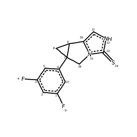 Fc1cc(F)cc(C23CC2c2c[nH]c(=S)n2C3)c1